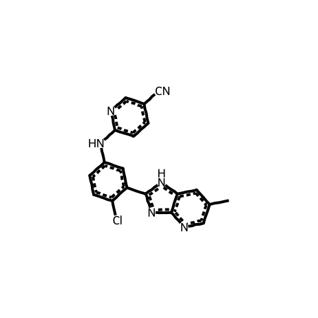 Cc1cnc2nc(-c3cc(Nc4ccc(C#N)cn4)ccc3Cl)[nH]c2c1